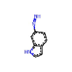 N=Nc1ccc2cc[nH]c2c1